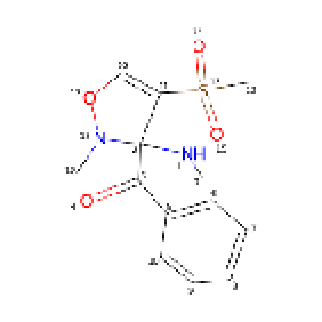 CNC1(C(=O)c2ccccc2)C(S(C)(=O)=O)=CON1C